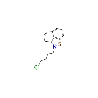 ClCCCCN1Sc2cccc3cccc1c23